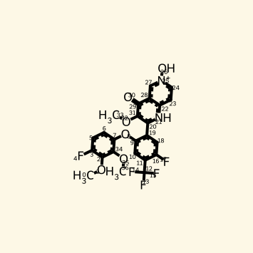 COc1c(F)ccc(Oc2cc(C(F)(F)F)c(F)cc2-c2[nH]c3cc[n+](O)cc3c(=O)c2OC)c1OC